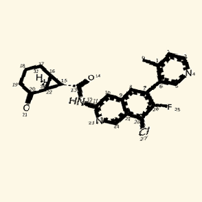 Cc1ccncc1-c1cc2cc(NC(=O)[C@H]3[C@@H]4CCCC(=O)[C@@H]43)ncc2c(Cl)c1F